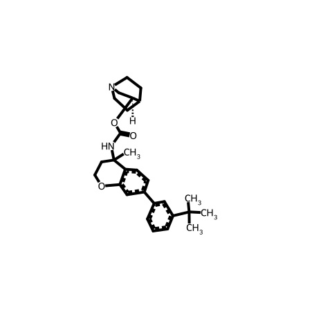 CC(C)(C)c1cccc(-c2ccc3c(c2)OCCC3(C)NC(=O)O[C@H]2CN3CCC2CC3)c1